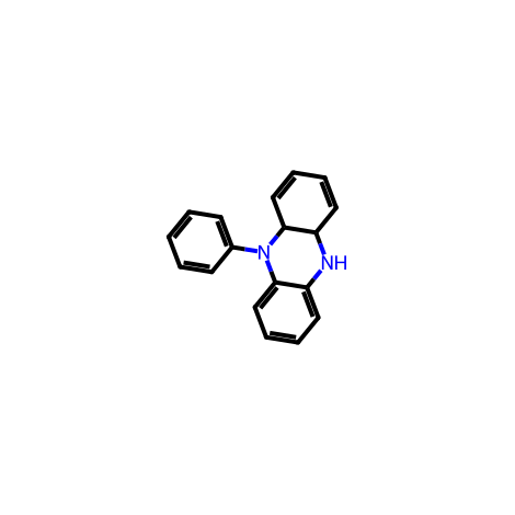 C1=CC2Nc3ccccc3N(c3ccccc3)C2C=C1